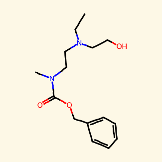 CCN(CCO)CCN(C)C(=O)OCc1ccccc1